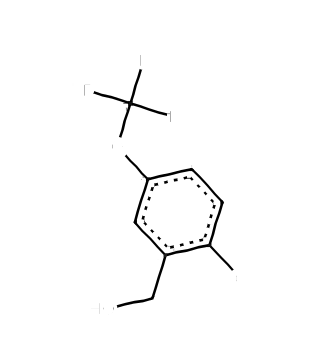 O[CH]c1cc(OC(F)(F)F)ccc1Cl